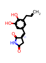 C=CCc1cc(/C=C2/CC(=O)NC2=O)cc(O)c1O